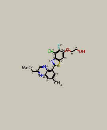 COCc1cnc2c(-c3nc4c(Cl)c(F)c(OCCO)cc4s3)cc(C)cc2n1